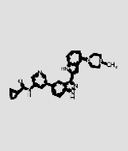 CN1CCN(c2cccc3[nH]c(-c4n[nH]c5ccc(-c6cncc(NC(=O)C7CCC7)c6)cc45)cc23)CC1